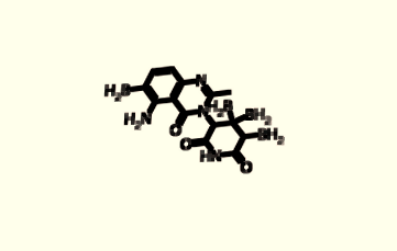 Bc1ccc2nc(C)n(C3C(=O)NC(=O)C(B)C3(B)B)c(=O)c2c1N